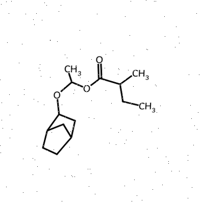 CCC(C)C(=O)OC(C)OC1CC2CCC1C2